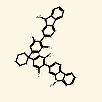 CCn1c2ccccc2c2ccc(-c3c(C)cc(C4(c5cc(C)c(-c6ccc7c(c6)C(NC)c6ccccc6-7)c(C)c5)CCCCC4)cc3C)cc21